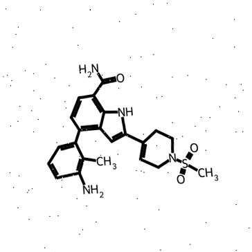 Cc1c(N)cccc1-c1ccc(C(N)=O)c2[nH]c(C3=CCN(S(C)(=O)=O)CC3)cc12